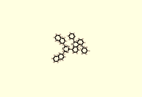 c1ccc(-c2nc3c(-c4nc(-c5ccc6ccccc6c5)nc(-c5ccc6ccccc6c5)n4)cccc3c3c(-c4ccccc4)cccc23)cc1